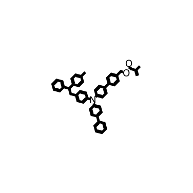 C=C(C)C(=O)OCc1ccc(-c2ccc(N(c3ccc(CC(c4ccccc4)c4ccc(C)cc4)cc3)c3ccc(-c4ccccc4)cc3)cc2)cc1